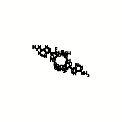 B[P@]1(=O)OC[C@H]2O[C@@H](n3cnc4c(N)ncnc43)[C@H](F)[C@@H]2OP(=O)(S)OC[C@H]2O[C@@H](n3cnc4c(N)ncnc43)[C@H](F)[C@@H]2O1